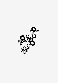 Cc1cccc(F)c1N1CCC(n2c(=O)n(Cc3ccccc3C(F)(F)F)c3c(OCC4COC(C)(C)O4)cccc32)C1